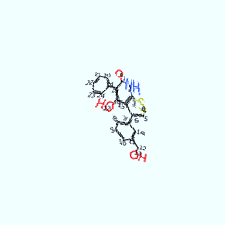 O=c1[nH]c2scc(-c3cccc(CO)c3)c2c(O)c1-c1ccccc1